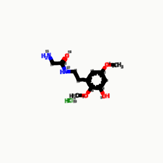 COc1cc(O)c(OC)c(CCNC(=O)CN)c1.Cl